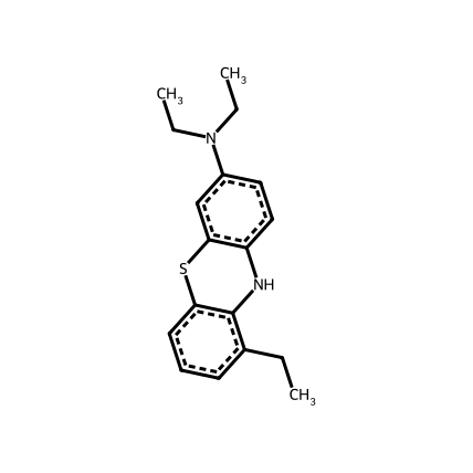 CCc1cccc2c1Nc1ccc(N(CC)CC)cc1S2